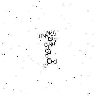 CSc1sc(C(=N)N)cc1NC(=O)c1ccc(Oc2cc(Cl)cc(Cl)c2)o1